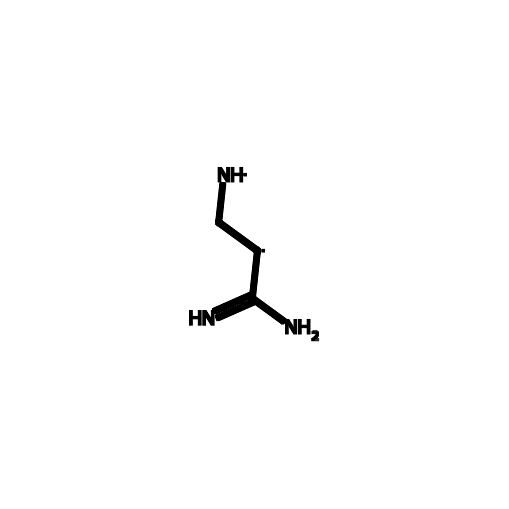 [NH]C[CH]C(=N)N